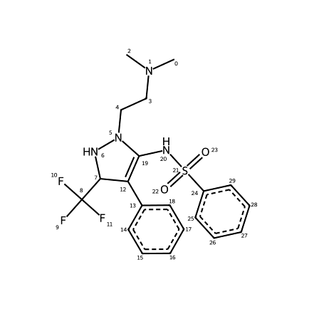 CN(C)CCN1NC(C(F)(F)F)C(c2ccccc2)=C1NS(=O)(=O)c1ccccc1